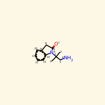 CC(C)(CN)N1C(=O)Cc2ccccc21